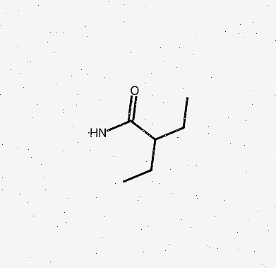 CCC(CC)C([NH])=O